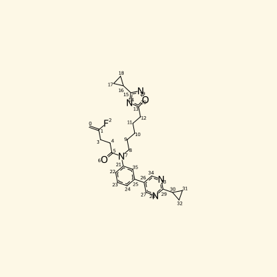 C=C(F)CCC(=O)N(CCCCCc1nc(C2CC2)no1)c1cccc(-c2cnc(C3CC3)nc2)c1